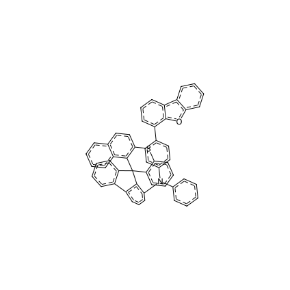 c1ccc(N(c2ccc(-c3cccc4c3oc3ccccc34)cc2)c2cccc3c2C2(c4ccccc4Sc4ccc5ccccc5c42)c2ccccc2-3)cc1